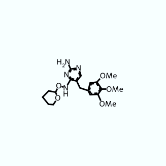 COc1cc(Cc2cnc(N)nc2NOC2CCCCO2)cc(OC)c1OC